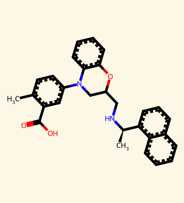 Cc1ccc(N2CC(CN[C@H](C)c3cccc4ccccc34)Oc3ccccc32)cc1C(=O)O